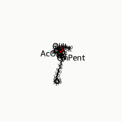 CCCCCN(C(=O)CCCCCCCCCCc1ccccc1)[C@H]1CC[C@H]2[C@H]3Cc4c(O)cc(OC(C)=O)c5c4[C@@]2(CCN3CC2CC2)[C@H]1O5